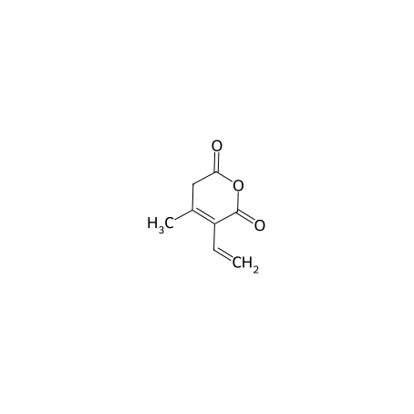 C=CC1=C(C)CC(=O)OC1=O